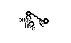 Cc1cccc(CCCCCN2CCOc3ccccc32)c1CN(C=O)C1CCC(=O)NC1=O